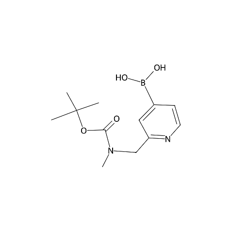 CN(Cc1cc(B(O)O)ccn1)C(=O)OC(C)(C)C